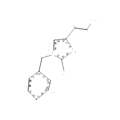 Cc1nc(CC[O])cn1Cc1ccccc1